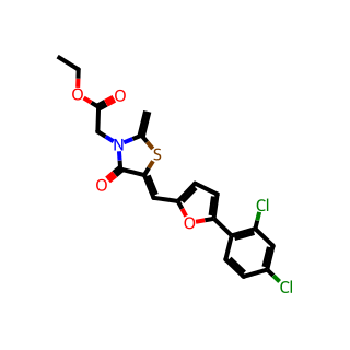 C=c1s/c(=C\c2ccc(-c3ccc(Cl)cc3Cl)o2)c(=O)n1CC(=O)OCC